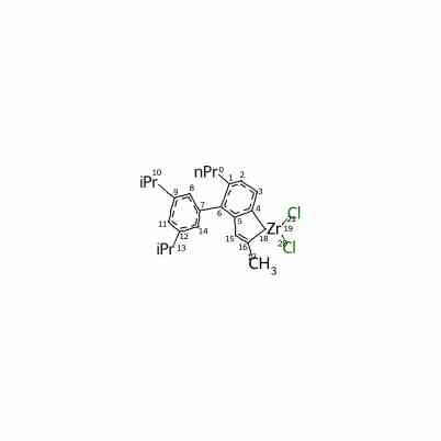 CCCc1ccc2c(c1-c1cc(C(C)C)cc(C(C)C)c1)C=C(C)[CH]2[Zr]([Cl])[Cl]